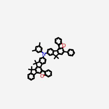 Cc1cc(C)cc(N(c2ccc3c(c2)C(C)(C)c2cc(-c4ccccc4)c4oc5ccccc5c4c2-3)c2ccc3c(c2)C(C)(C)c2c4c(c5oc6ccccc6c5c2-3)-c2ccccc2C4(C)C)c1